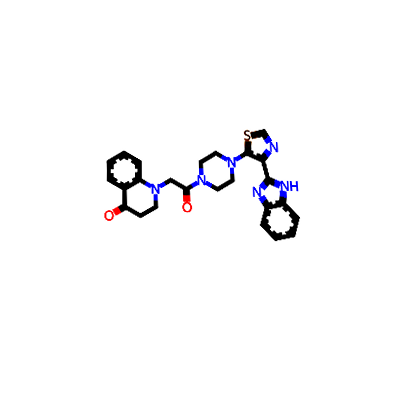 O=C1CCN(CC(=O)N2CCN(c3scnc3-c3nc4ccccc4[nH]3)CC2)c2ccccc21